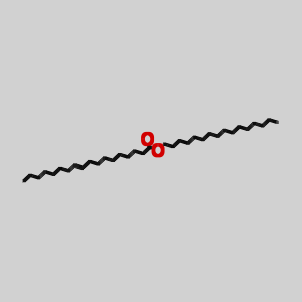 CCCCCCCC=CCCCCCCCCC(=O)OCCCCCCCCCCCCCCCC